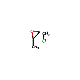 CC1CO1.CCl